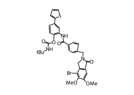 COc1cc2c(c(Br)c1OC)CN(Cc1ccc(C(=O)Nc3cc(-c4cccs4)ccc3OC(=O)NC(C)(C)C)cc1)C2=O